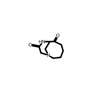 O=C1CN2CCCCC(=O)C(C2)N1